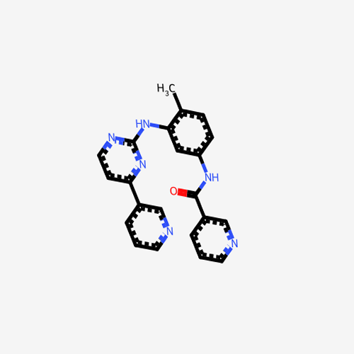 Cc1ccc(NC(=O)c2cccnc2)cc1Nc1nccc(-c2cccnc2)n1